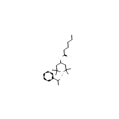 CCCCCC(=O)OC1CC(C)(C)N(OC(C)c2ccccc2)C(C)(C)C1